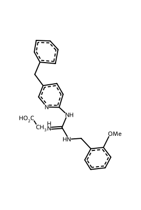 CC(=O)O.COc1ccccc1CNC(=N)Nc1ccc(Cc2ccccc2)cn1